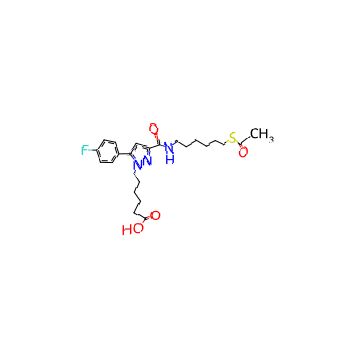 CC(=O)SCCCCCCNC(=O)c1cc(-c2ccc(F)cc2)n(CCCCCC(=O)O)n1